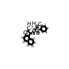 Cc1ccccc1S(=O)(=O)O/N=C1/c2c(ccc3ccccc23)OC1C